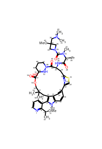 CCn1c(-c2cccnc2[C@H](C)OC)c2c3cc(ccc31)-c1csc(n1)C[C@H](NC(=O)[C@H](C(C)C)N(C)C(=O)N1CC(CN(C)C)(OC)C1)C(=O)N1CCC[C@@](O)(N1)C(=O)OCC(C)(C)C2